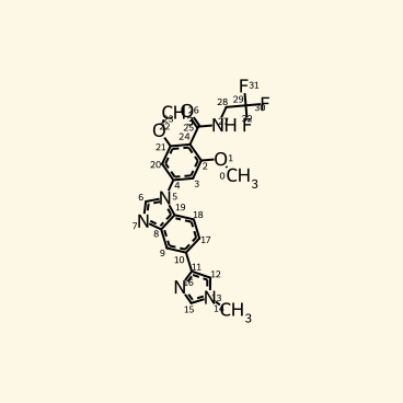 COc1cc(-n2cnc3cc(-c4cn(C)cn4)ccc32)cc(OC)c1C(=O)NCC(F)(F)F